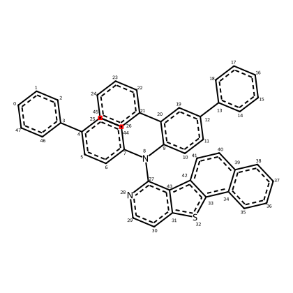 c1ccc(-c2ccc(N(c3ccc(-c4ccccc4)cc3-c3ccccc3)c3nccc4sc5c6ccccc6ccc5c34)cc2)cc1